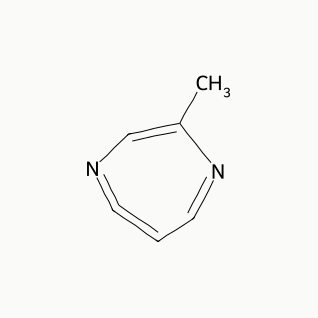 CC1=CN=C=CC=N1